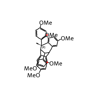 COc1ccc(C2C3c4cc(OC)cc(OC)c4[C@@](C)(c4ccc(OC)cc4)C2c2cc(OC)cc(OC)c23)cc1